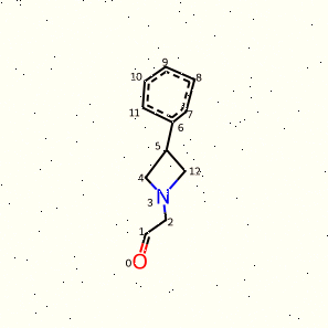 O=CCN1CC(c2ccccc2)C1